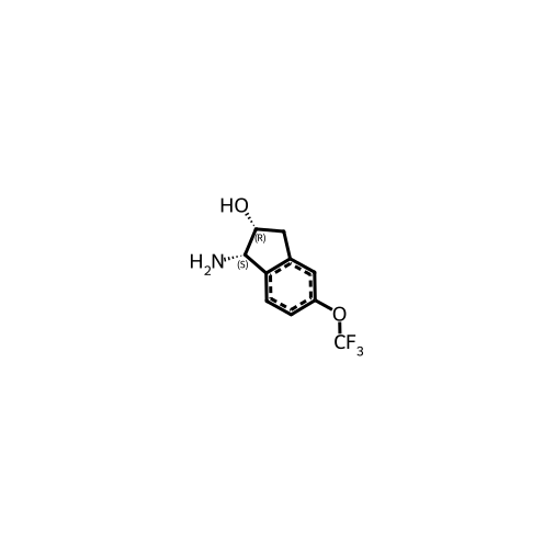 N[C@H]1c2ccc(OC(F)(F)F)cc2C[C@H]1O